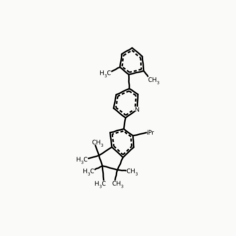 Cc1cccc(C)c1-c1ccc(-c2cc3c(cc2C(C)C)C(C)(C)C(C)(C)C3(C)C)nc1